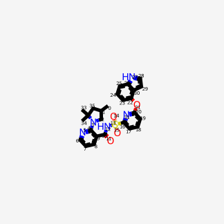 CC1CN(c2ncccc2C(=O)NS(=O)(=O)c2cccc(Oc3cccc4[nH]ccc34)n2)C(C)(C)C1